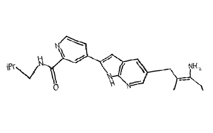 C/C(N)=C(\C)Cc1cnc2[nH]c(-c3ccnc(C(=O)NCC(C)C)c3)cc2c1